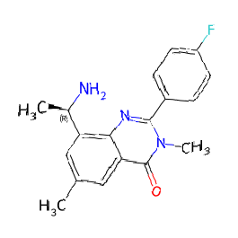 Cc1cc([C@@H](C)N)c2nc(-c3ccc(F)cc3)n(C)c(=O)c2c1